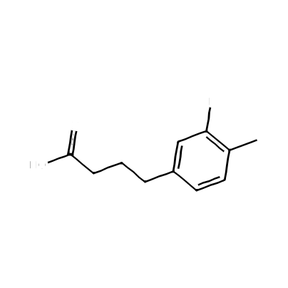 Cc1ccc(CCCC(=O)O)cc1F